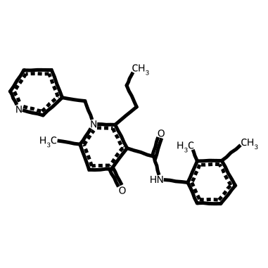 CCCc1c(C(=O)Nc2cccc(C)c2C)c(=O)cc(C)n1Cc1cccnc1